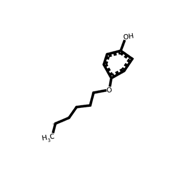 C[CH]CCCCOc1ccc(O)cc1